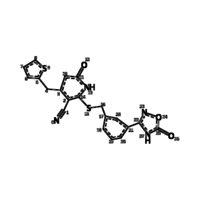 N#Cc1c(Cc2cccs2)cc(=O)[nH]c1SCc1cccc(-c2noc(=O)[nH]2)c1